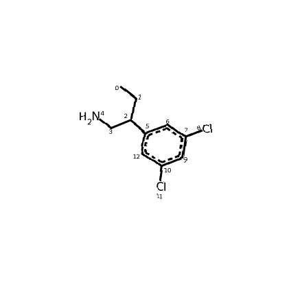 CCC(CN)c1cc(Cl)cc(Cl)c1